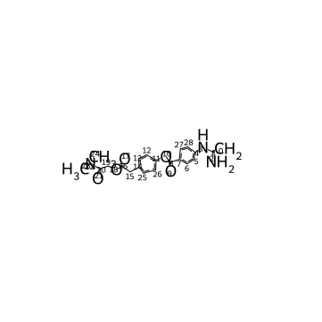 C=C(N)Nc1ccc(C(=O)Oc2ccc(CC(=O)OCC(=O)N(C)C)cc2)cc1